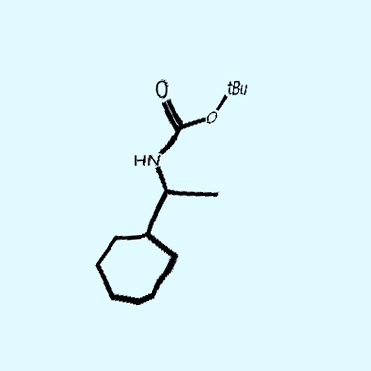 CC(NC(=O)OC(C)(C)C)C1CCCCC1